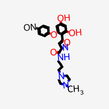 CN1CCN(CCCNC(=O)c2cc(-c3c(O)cc(O)cc3Oc3ccc(N=O)cc3)on2)CC1